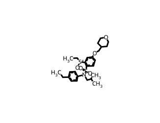 CCc1ccc(N(CC(C)C)S(=O)(=O)c2ccc(OCC3CCOCC3)cc2[S+]([O-])CC)cc1